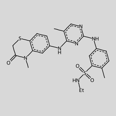 CCNS(=O)(=O)c1cc(Nc2ncc(C)c(Nc3ccc4c(c3)N(C)C(=O)CS4)n2)ccc1C